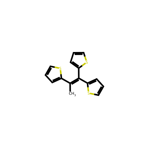 CC(=C(c1cccs1)c1cccs1)c1cccs1